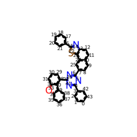 c1ccc(-c2nc(-c3ccc4ccc5nc(-c6ccccc6)sc5c4c3)nc(-c3cccc4oc5ccccc5c34)n2)cc1